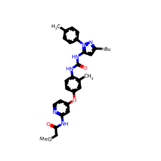 CCCCc1cc(NC(=O)Nc2ccc(Oc3ccnc(NC(=O)COC)c3)cc2C)n(-c2ccc(C)cc2)n1